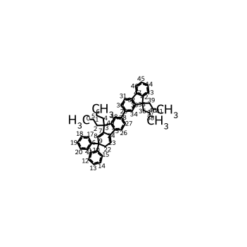 CCCC1(CCC)C2=CC(c3ccccc3)(c3ccccc3)CC=C2c2ccc(-c3ccc4c(c3)C(CCC)(CCC)c3ccccc3-4)cc21